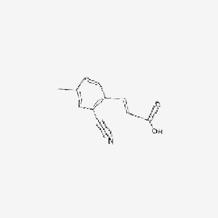 Cc1ccc(C=CC(=O)O)c(C#N)c1